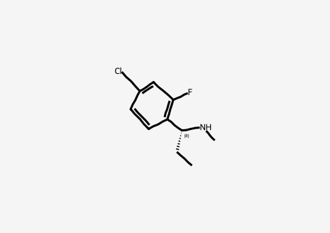 CC[C@@H](NC)c1ccc(Cl)cc1F